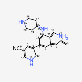 C=C/C=c1/cc(C2=CC(C#N)=CNC2)cc(NC2CCNCC2)/c1=C/N